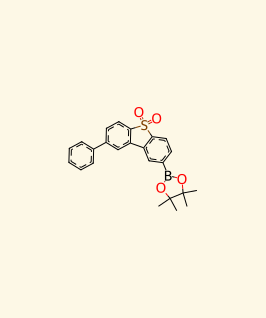 CC1(C)OB(c2ccc3c(c2)-c2cc(-c4ccccc4)ccc2S3(=O)=O)OC1(C)C